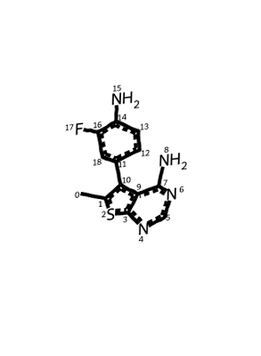 Cc1sc2ncnc(N)c2c1-c1ccc(N)c(F)c1